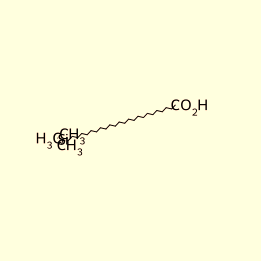 C[Si](C)(C)CCCCCCCCCCCCCCCCCCCCCCCC(=O)O